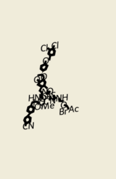 COC(=O)C(Cc1ccc(-c2ccc(C#N)cc2)cc1)NC(=O)C1Cc2cc3c(cc2CN1S(=O)(=O)c1sc(NCCOC[C@H](Br)C(C)=O)nc1C)O[C@@H](c1ccc(OCc2ccc(Cl)c(Cl)c2)cc1)CO3